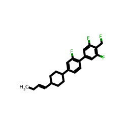 CC/C=C/C1CCC(c2ccc(-c3cc(F)c(CF)c(F)c3)c(F)c2)CC1